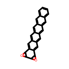 c1ccc2cc3cc4cc5cc6c(cc5cc4cc3cc2c1)C1OC1C1OC61